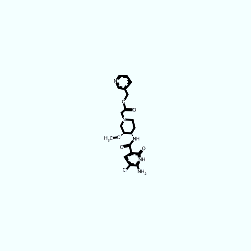 CO[C@@H]1CN(CC(=O)OCc2cccnc2)CC[C@@H]1NC(=O)c1cc(Cl)c(N)[nH]c1=O